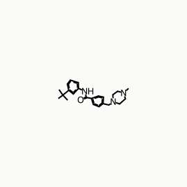 CN1CCN(Cc2ccc(C(=O)Nc3cccc(C(C)(C)C)c3)cc2)CC1